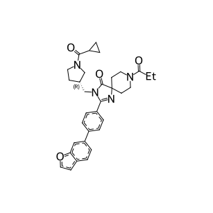 CCC(=O)N1CCC2(CC1)N=C(c1ccc(-c3ccc4ccoc4c3)cc1)N(C[C@@H]1CCN(C(=O)C3CC3)C1)C2=O